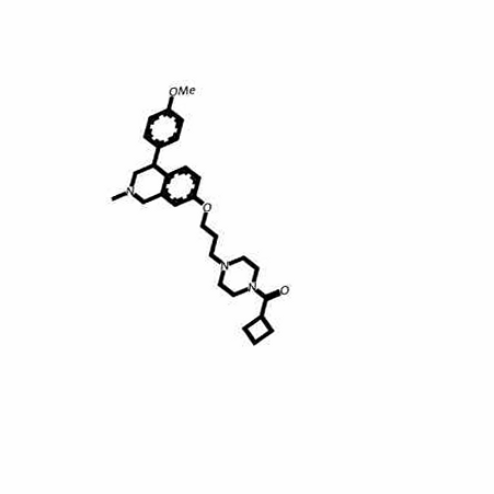 COc1ccc(C2CN(C)Cc3cc(OCCCN4CCN(C(=O)C5CCC5)CC4)ccc32)cc1